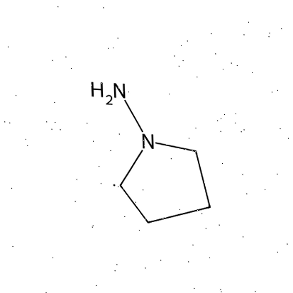 NN1[CH]CCC1